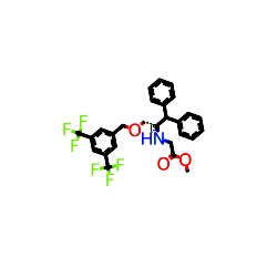 COC(=O)CN[C@H](COCc1cc(C(F)(F)F)cc(C(F)(F)F)c1)C(c1ccccc1)c1ccccc1